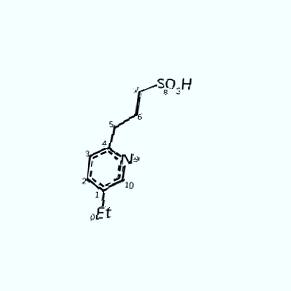 CCc1ccc(CCCS(=O)(=O)O)nc1